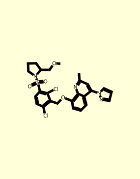 COCC1CCCN1S(=O)(=O)c1ccc(Cl)c(COc2cccc3c(-n4cccn4)cc(C)nc23)c1Cl